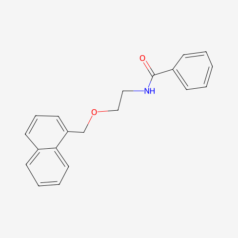 O=C(NCCOCc1cccc2ccccc12)c1ccccc1